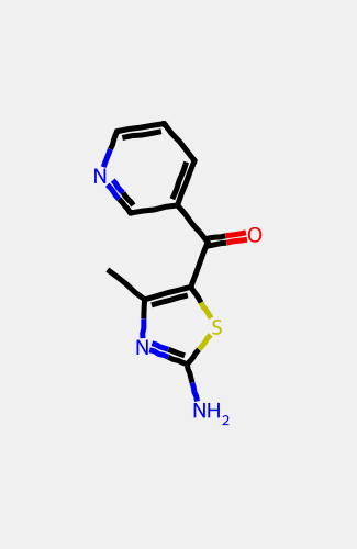 Cc1nc(N)sc1C(=O)c1cccnc1